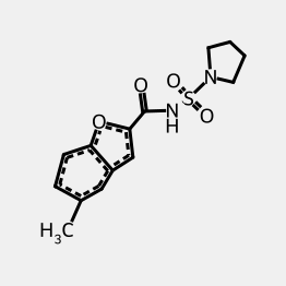 Cc1ccc2oc(C(=O)NS(=O)(=O)N3CCCC3)cc2c1